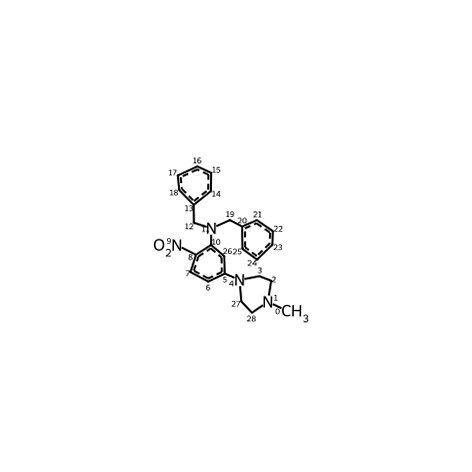 CN1CCN(c2ccc([N+](=O)[O-])c(N(Cc3ccccc3)Cc3ccccc3)c2)CC1